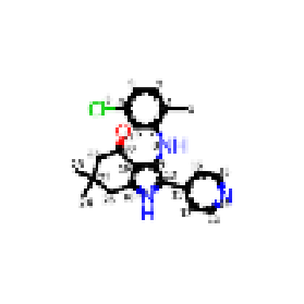 Cc1ccc(Cl)cc1Nc1c(-c2ccncc2)[nH]c2c1C(=O)CC(C)(C)C2